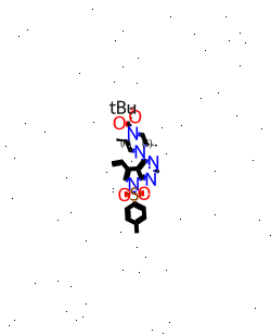 C=Cc1cn(S(=O)(=O)c2ccc(C)cc2)c2ncnc(N3C[C@@H](C)N(C(=O)OC(C)(C)C)C[C@@H]3C)c12